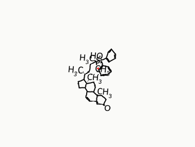 C[C@H](CCC(C)(C)[Si](O)(c1ccccc1)c1ccccc1)C1CCC2C3C=CC4=CC(=O)CC[C@]4(C)C3CC[C@@]21C